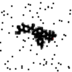 CC1CN(C(=O)N2CCC3(S(=O)(=O)c4ccc(F)cc4)c4ccc(C(F)(C(F)(F)F)C(F)(F)F)cc4OCC23)CCC1C(=O)O